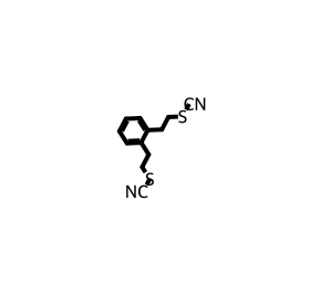 N#CSCCc1ccccc1CCSC#N